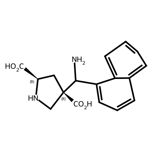 NC(c1cccc2ccccc12)[C@]1(C(=O)O)CN[C@@H](C(=O)O)C1